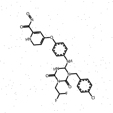 O=NC(=O)C1=CC(Oc2ccc(NC3NC(=O)N(CC(F)F)C(=O)N3Cc3ccc(Cl)cc3)cc2)=CCN1